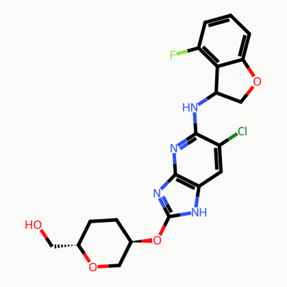 OC[C@@H]1CC[C@@H](Oc2nc3nc(NC4COc5cccc(F)c54)c(Cl)cc3[nH]2)CO1